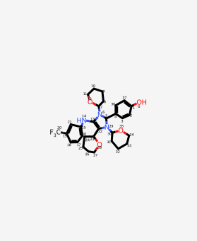 Oc1ccc(C2N(C3CCCCO3)C(Nc3cccc(C(F)(F)F)c3)=C(C3CCCCO3)N2C2CCCCO2)cc1